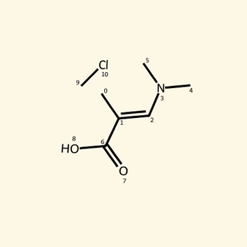 C/C(=C\N(C)C)C(=O)O.CCl